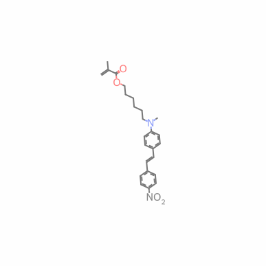 C=C(C)C(=O)OCCCCCCN(C)c1ccc(/C=C/c2ccc([N+](=O)[O-])cc2)cc1